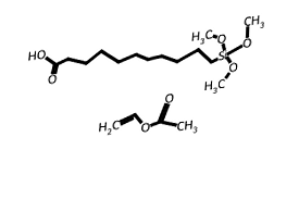 C=COC(C)=O.CO[Si](CCCCCCCCCCC(=O)O)(OC)OC